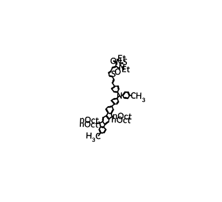 CCCCCCCCC1(CCCCCCCC)c2cc(C)ccc2-c2cc3c(cc21)-c1ccc(-c2ccc(N(c4ccc(C)cc4)c4ccc(/C=C/c5ccc(C=C6C(=O)N(CC)C(=S)N(CC)C6=O)s5)cc4)cc2)cc1C3(CCCCCCCC)CCCCCCCC